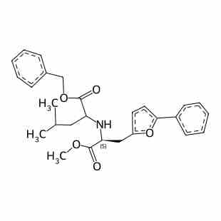 COC(=O)[C@H](Cc1ccc(-c2ccccc2)o1)NC(CC(C)C)C(=O)OCc1ccccc1